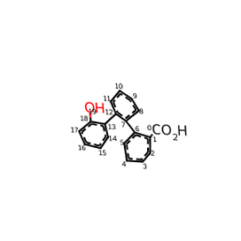 O=C(O)c1ccccc1-c1ccccc1-c1ccccc1O